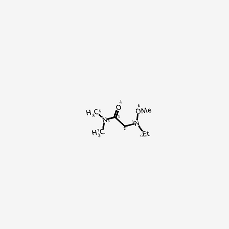 CCN(CC(=O)N(C)C)OC